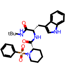 CC(C)(C)NC(=O)[C@H](Cc1c[nH]c2ccccc12)NC(=O)[C@@H]1CCCCN1S(=O)(=O)c1ccccc1